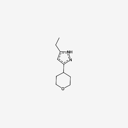 CCc1cc(C2CCOCC2)n[nH]1